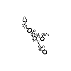 COc1ccccc1Oc1c(NS(=O)(=O)c2ccc(OCC(=O)N3CCOCC3)cc2)ncnc1OCCOC(=O)Nc1ccccn1